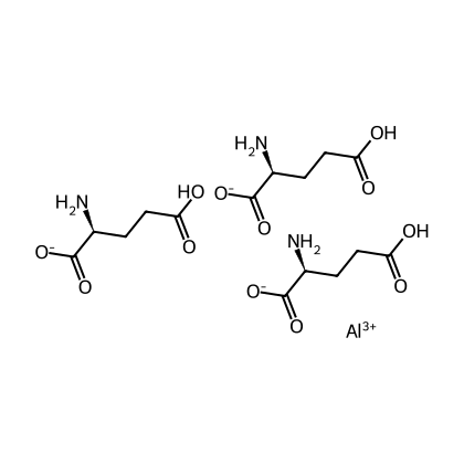 N[C@@H](CCC(=O)O)C(=O)[O-].N[C@@H](CCC(=O)O)C(=O)[O-].N[C@@H](CCC(=O)O)C(=O)[O-].[Al+3]